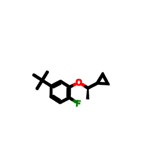 C[C@@H](Oc1cc(C(C)(C)C)ccc1F)C1CC1